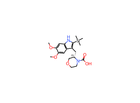 COc1cc2[nH]c([Si](C)(C)C)c(C[C@H]3COCCN3C(=O)O)c2cc1OC